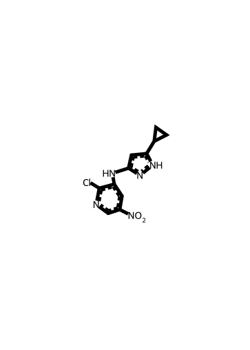 O=[N+]([O-])c1cnc(Cl)c(Nc2cc(C3CC3)[nH]n2)c1